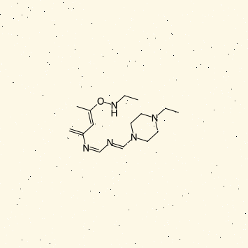 C=C(/C=C(\C)ONCC)/N=C\N=C\N1CCN(CC)CC1